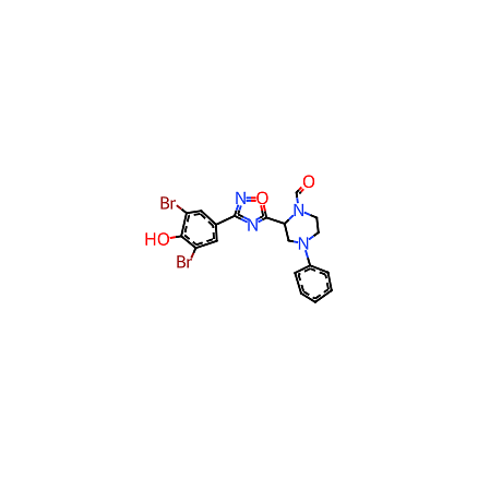 O=CN1CCN(c2ccccc2)CC1c1nc(-c2cc(Br)c(O)c(Br)c2)no1